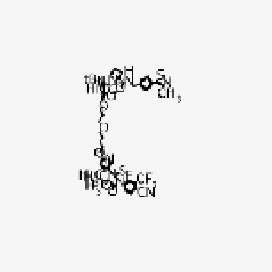 Cc1cc(OCCCCOCCCOCC(=O)N[C@H](C(=O)N2CCC[C@H]2C(=O)NCc2ccc(-c3scnc3C)cc2)C(C)(C)C)ncc1N1C(=S)N(c2ccc(C#N)c(C(F)(F)F)c2F)C(=O)C1(C)C